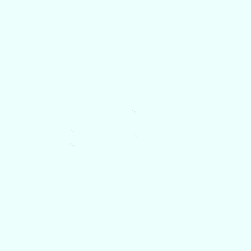 CC(=O)c1cc(C)cc2c(=O)n(C)c(-c3ccc4c(c3)c(C)nn4C)nc12